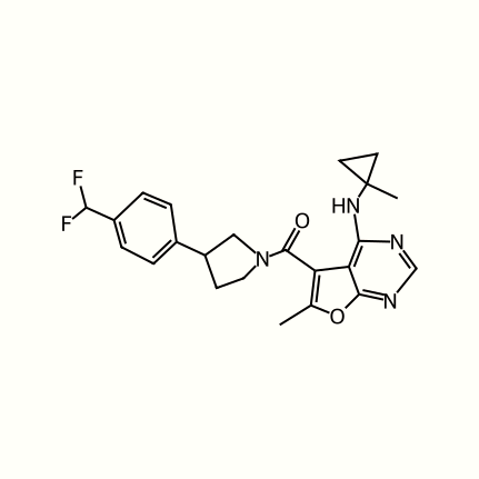 Cc1oc2ncnc(NC3(C)CC3)c2c1C(=O)N1CCC(c2ccc(C(F)F)cc2)C1